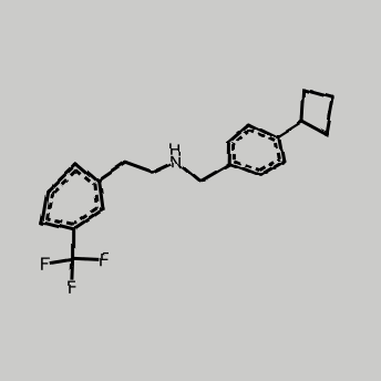 FC(F)(F)c1cccc(CCNCc2ccc(C3CCC3)cc2)c1